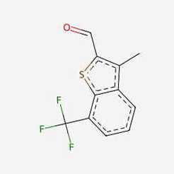 Cc1c(C=O)sc2c(C(F)(F)F)cccc12